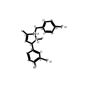 CC1=CC(c2ccc(F)c(F)c2)N(C)N1Cc1ccc(F)cc1